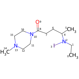 CCN(I)C(C)CCC(=O)N1CCN(C)CC1